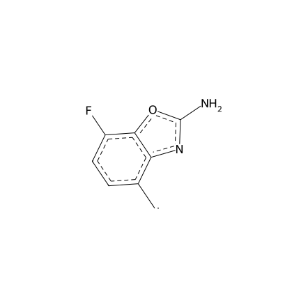 [CH2]c1ccc(F)c2oc(N)nc12